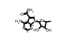 CC1OC(n2cc(C(N)=O)c3c(N)ncnc32)C(O)C1O